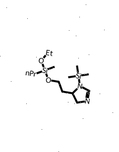 CCC[Si](C)(OCC)OCCC1CN=CN1[Si](C)(C)C